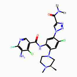 CCN(CC)C(=O)c1cn(-c2cc(NC(=O)c3cnc(F)c(N)c3Cl)c(N3CCN(C)[C@H](C)C3)cc2Cl)nn1